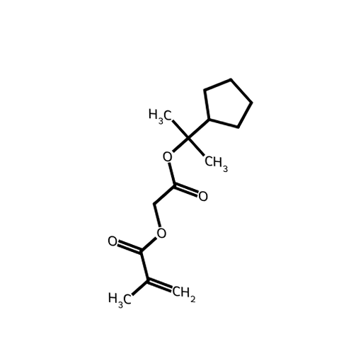 C=C(C)C(=O)OCC(=O)OC(C)(C)C1CCCC1